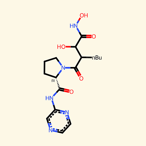 CCCCC(C(=O)N1CCC[C@H]1C(=O)Nc1cnccn1)C(O)C(=O)NO